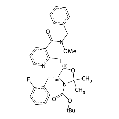 CON(Cc1ccccc1)C(=O)c1cccnc1C[C@@H]1OC(C)(C)N(C(=O)OC(C)(C)C)[C@@H]1Cc1ccccc1F